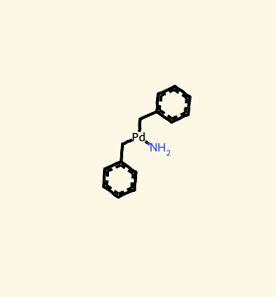 [NH2][Pd]([CH2]c1ccccc1)[CH2]c1ccccc1